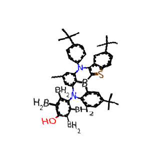 Bc1c(B)c(N2c3ccc(C(C)(C)C)cc3B3c4sc5ccc(C(C)(C)C)cc5c4N(c4ccc(C(C)(C)C)cc4)c4cc(C)cc2c43)c(B)c(B)c1O